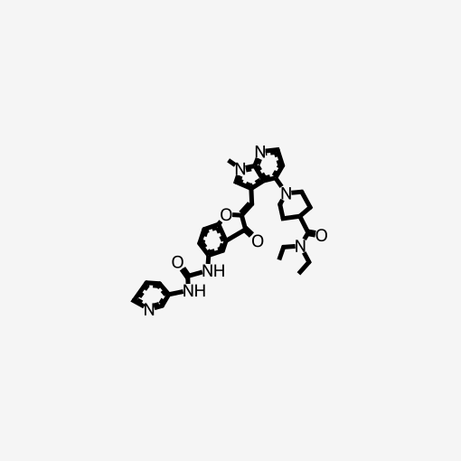 CCN(CC)C(=O)C1CCN(c2ccnc3c2c(C=C2Oc4ccc(NC(=O)Nc5cccnc5)cc4C2=O)cn3C)CC1